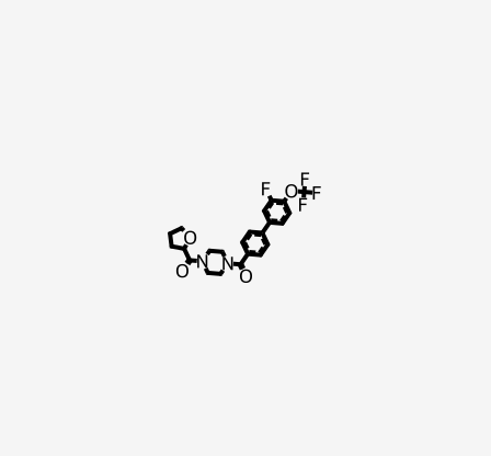 O=C(c1ccc(-c2ccc(OC(F)(F)F)c(F)c2)cc1)N1CCN(C(=O)C2CCCO2)CC1